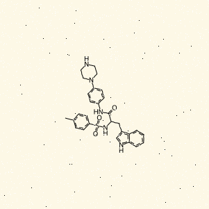 Cc1ccc(S(=O)(=O)NC(Cc2c[nH]c3ccccc23)C(=O)Nc2ccc(N3CCNCC3)cc2)cc1